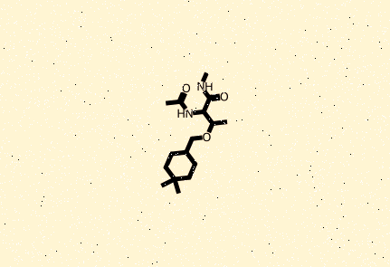 CNC(=O)C(NC(C)=O)C(C)OCC1CCC(C)(C)CC1